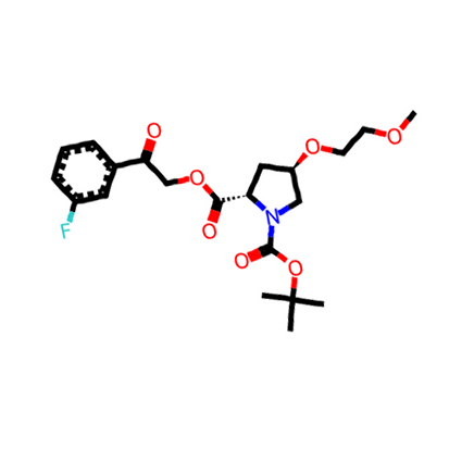 COCCO[C@@H]1C[C@@H](C(=O)OCC(=O)c2cccc(F)c2)N(C(=O)OC(C)(C)C)C1